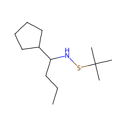 CCCC(NSC(C)(C)C)C1CCCC1